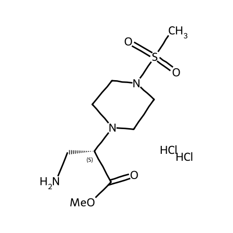 COC(=O)[C@H](CN)N1CCN(S(C)(=O)=O)CC1.Cl.Cl